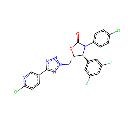 O=C1O[C@@H](Cn2nnc(-c3ccc(Cl)nc3)n2)[C@H](c2cc(F)cc(F)c2)N1c1ccc(Cl)cc1